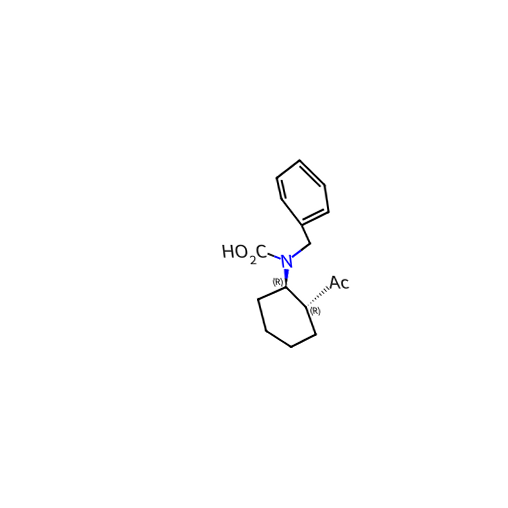 CC(=O)[C@@H]1CCCC[C@H]1N(Cc1ccccc1)C(=O)O